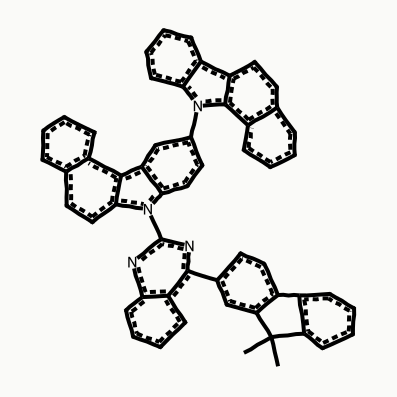 CC1(C)c2ccccc2-c2ccc(-c3nc(-n4c5ccc(-n6c7ccccc7c7ccc8ccccc8c76)cc5c5c6ccccc6ccc54)nc4ccccc34)cc21